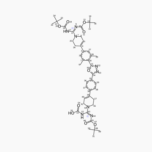 Cc1cc(C2=CCN(/C(=N\C(=O)OC(C)(C)C)NC(=O)OC(C)(C)C)CC2)cc(C)c1-c1nnc(-c2ccc(C3=CCN(/C(=N/C(=O)OC(C)(C)C)NC(=O)O)CC3)cc2)o1